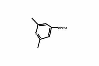 CCCCCc1cc(C)nc(C)c1